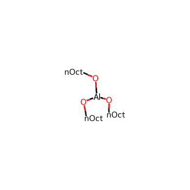 CCCCCCCC[O][Al]([O]CCCCCCCC)[O]CCCCCCCC